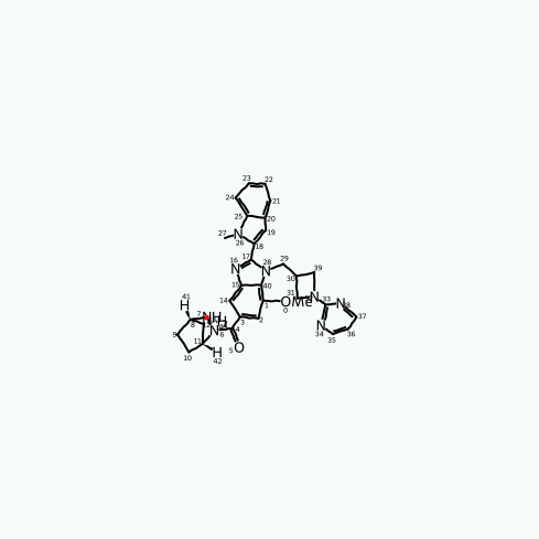 COc1cc(C(=O)N2C[C@H]3CC[C@@H]2[C@@H]3N)cc2nc(-c3cc4ccccc4n3C)n(CC3CN(c4ncccn4)C3)c12